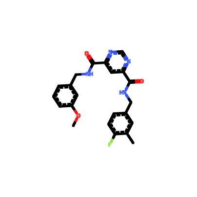 COc1cccc(CNC(=O)c2cc(C(=O)NCc3ccc(F)c(C)c3)ncn2)c1